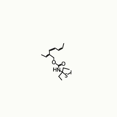 C\C=C/C=C\C(=C/C)COC(=O)NC(CC)(CC)SI